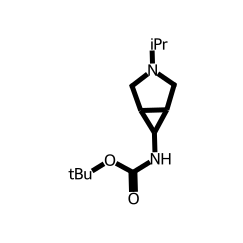 CC(C)N1CC2C(C1)C2NC(=O)OC(C)(C)C